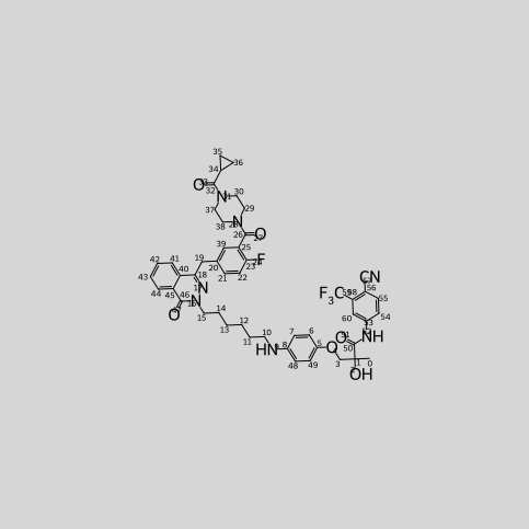 CC(O)(COc1ccc(NCCCCCCn2nc(Cc3ccc(F)c(C(=O)N4CCN(C(=O)C5CC5)CC4)c3)c3ccccc3c2=O)cc1)C(=O)Nc1ccc(C#N)c(C(F)(F)F)c1